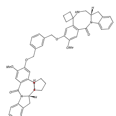 COc1cc2c(cc1OCc1cccc(COc3cc4c(cc3OC)C(=O)N3c5ccccc5C[C@H]3C35CCCC43NC5)c1)C1(CCC1)NC[C@@H]1Cc3ccccc3N1C2=O